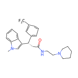 Cn1cc([C@@H](CC(=O)NCCN2CCCCC2)c2cccc(C(F)(F)F)c2)c2ccccc21